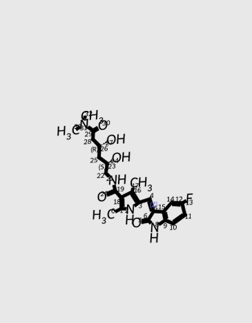 Cc1[nH]c(/C=C2\C(=O)Nc3ccc(F)cc32)c(C)c1C(=O)NC[C@@H](O)C[C@@H](O)CC(=O)N(C)C